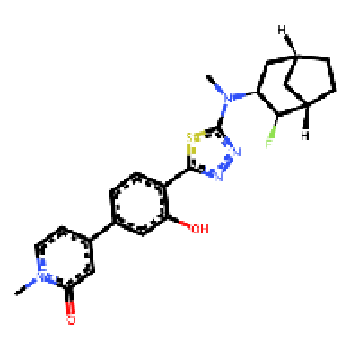 CN(c1nnc(-c2ccc(-c3ccn(C)c(=O)c3)cc2O)s1)[C@H]1C[C@@H]2CC[C@@H](C2)[C@H]1F